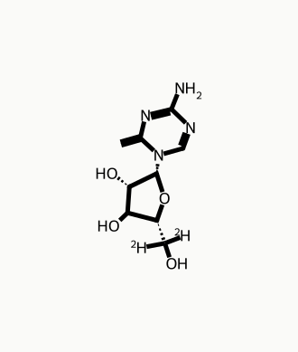 [2H]C([2H])(O)[C@H]1O[C@@H](N2C=NC(N)=NC2=C)[C@@H](O)C1O